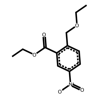 CCOCc1ccc([N+](=O)[O-])cc1C(=O)OCC